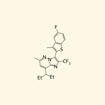 CCC(CC)c1cc(C)nn2c(-c3sc4ccc(F)cc4c3C)c(C(F)(F)F)nc12